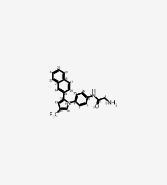 NCC(=O)Nc1ccc(-n2cc(C(F)(F)F)cc2-c2ccc3ccccc3c2)cc1